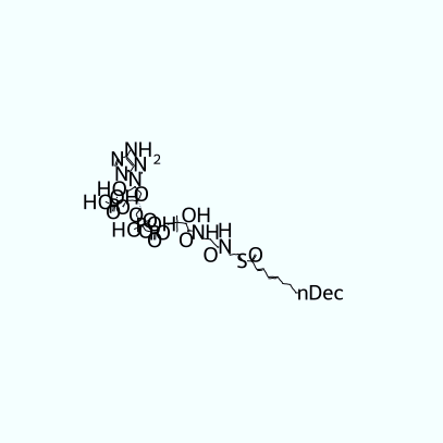 CCCCCCCCCCCCCC=CC=CC(=O)SCCNC(=O)CCNC(=O)[C@H](O)C(C)(C)COP(=O)(O)OP(=O)(O)OC[C@H]1O[C@@H](n2cnc3c(N)ncnc32)[C@H](O)[C@@H]1OP(=O)(O)O